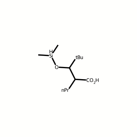 CCCC(C(=O)O)C(O[SiH](C)C)C(C)(C)C